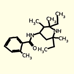 CCC1(C)CC(NC(=O)c2ccccc2C)C(C)C(C)(CC)N1